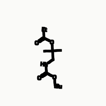 CCC(=O)OC(C)(C)CNC(=O)OC(C)(C)C